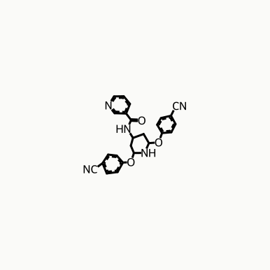 N#Cc1ccc(OC2CC(NC(=O)c3cccnc3)CC(Oc3ccc(C#N)cc3)N2)cc1